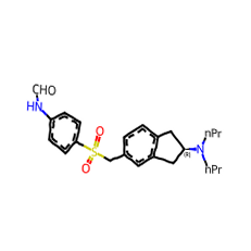 CCCN(CCC)[C@@H]1Cc2ccc(CS(=O)(=O)c3ccc(NC=O)cc3)cc2C1